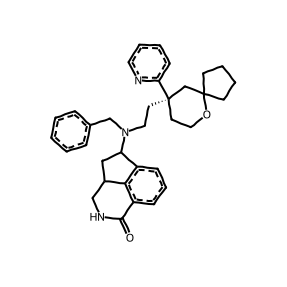 O=C1NCC2CC(N(CC[C@@]3(c4ccccn4)CCOC4(CCCC4)C3)Cc3ccccc3)c3cccc1c32